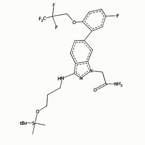 CC(C)(C)[Si](C)(C)OCCCNc1nn(CC(N)=O)c2cc(-c3cc(F)ccc3OCC(F)(F)C(F)(F)F)ccc12